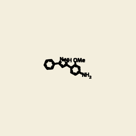 COc1cc(N)ccc1-c1cc(-c2ccccc2)n[nH]1